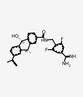 C=C(C)c1ccc2c(c1)[C@@H](C)c1cc(C(=O)NCc3c(F)cc(C(=N)N)cc3F)ccc1[C@H]2O